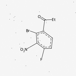 CCC(=O)c1ccc(F)c([N+](=O)[O-])c1Br